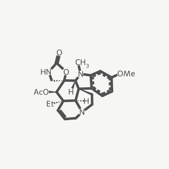 CC[C@]12C=CCN3CC[C@@]4(c5ccc(OC)cc5N(C)[C@H]4[C@@]4(CNC(=O)O4)[C@@H]1OC(C)=O)[C@@H]32